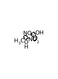 Cc1cc([N+](=O)[O-])cc([N+](=O)[O-])c1O.Oc1cccc2ccccc12